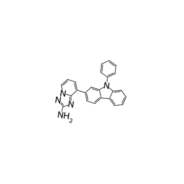 Nc1nc2c(-c3ccc4c5ccccc5n(-c5ccccc5)c4c3)cccn2n1